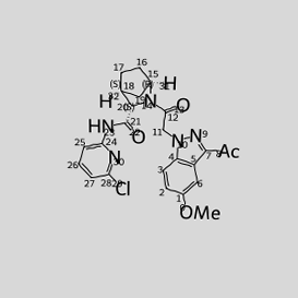 COc1ccc2c(c1)c(C(C)=O)nn2CC(=O)N1[C@@H]2CC[C@@H](C2)[C@H]1C(=O)Nc1cccc(Cl)n1